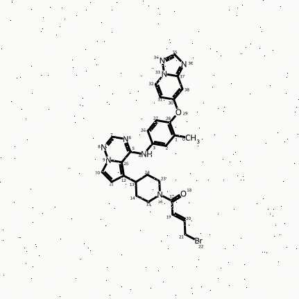 Cc1cc(Nc2ncnn3ccc(C4CCN(C(=O)C=CCBr)CC4)c23)ccc1Oc1ccn2ncnc2c1